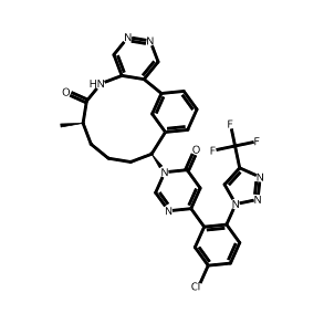 C[C@@H]1CCC[C@H](n2cnc(-c3cc(Cl)ccc3-n3cc(C(F)(F)F)nn3)cc2=O)c2cccc(c2)-c2cnncc2NC1=O